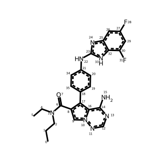 CCCN(CC)C(=O)c1cn2ncnc(N)c2c1-c1ccc(Nc2nc3cc(F)cc(F)c3[nH]2)cc1